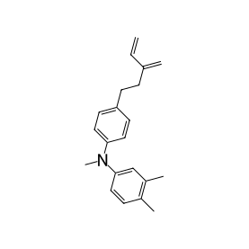 C=CC(=C)CCc1ccc(N(C)c2ccc(C)c(C)c2)cc1